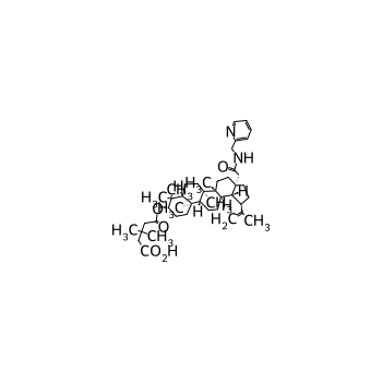 C=C(C)[C@@H]1CC[C@]2(CC(=O)NCc3ccccn3)CC[C@]3(C)[C@H](CC[C@@H]4[C@@]5(C)CC[C@H](OC(=O)CC(C)(C)CC(=O)O)C(C)(C)[C@@H]5CC[C@]43C)[C@@H]12